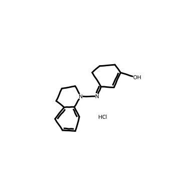 Cl.OC1=CC(=NN2CCCc3ccccc32)CCC1